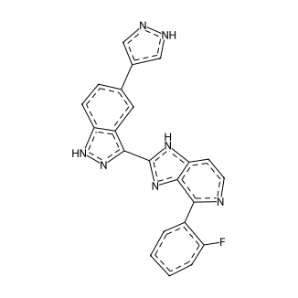 Fc1ccccc1-c1nccc2[nH]c(-c3n[nH]c4ccc(-c5cn[nH]c5)cc34)nc12